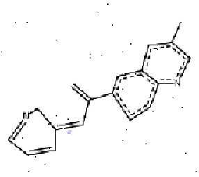 C=C(/C=C1/C=CC=NC1)c1ccc2ncc(C)cc2c1